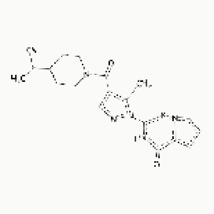 Cc1c(C(=O)N2CCC(C(C)C#N)CC2)cnn1-c1nn2cccc2c(=O)[nH]1